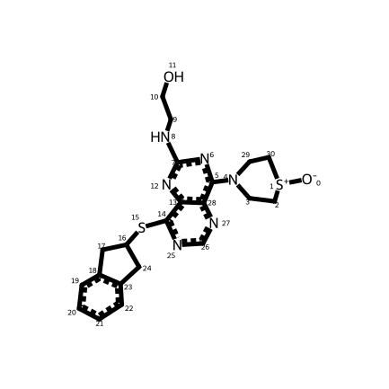 [O-][S+]1CCN(c2nc(NCCO)nc3c(SC4Cc5ccccc5C4)ncnc23)CC1